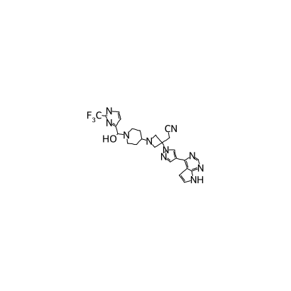 N#CCC1(n2cc(-c3ncnc4[nH]ccc34)cn2)CN(C2CCN(C(O)c3ccnc(C(F)(F)F)n3)CC2)C1